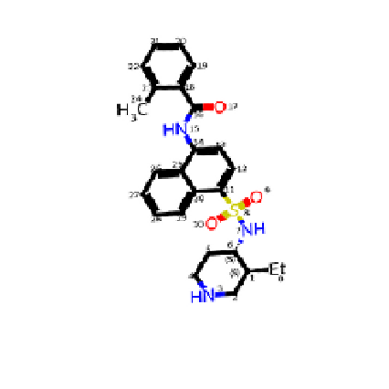 CC[C@H]1CNCC[C@@H]1NS(=O)(=O)c1ccc(NC(=O)c2ccccc2C)c2ccccc12